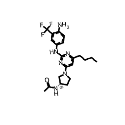 CCCCc1cc(N2CC[C@H](NC(C)=O)C2)nc(Nc2ccc(N)c(C(F)(F)F)c2)n1